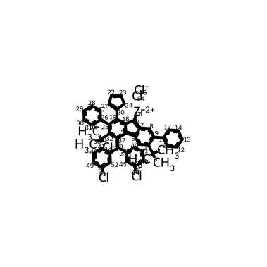 CC(C)(C)c1cc2c(cc1-c1ccccc1)=[C]([Zr+2])c1c(C3=CC=CC3)c(-c3ccccc3)c(C(C)(C)C)c(=C(c3cccc(Cl)c3)c3cccc(Cl)c3)c1=2.[Cl-].[Cl-]